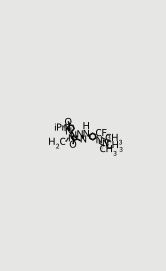 C=CCn1c(=O)c2cnc(Nc3ccc(N4C[C@@H](C)N(C)[C@@H](C)C4)c(C(F)(F)F)c3)nc2n1-c1ccc(=O)n(C(C)C)n1